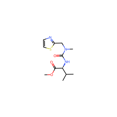 COC(=O)[C@@H](NC(=O)N(C)Cc1nccs1)C(C)C